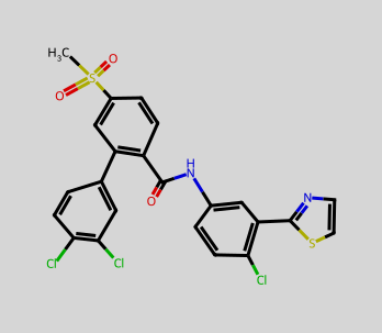 CS(=O)(=O)c1ccc(C(=O)Nc2ccc(Cl)c(-c3nccs3)c2)c(-c2ccc(Cl)c(Cl)c2)c1